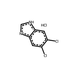 Cl.Clc1cc2nc[nH]c2cc1Cl